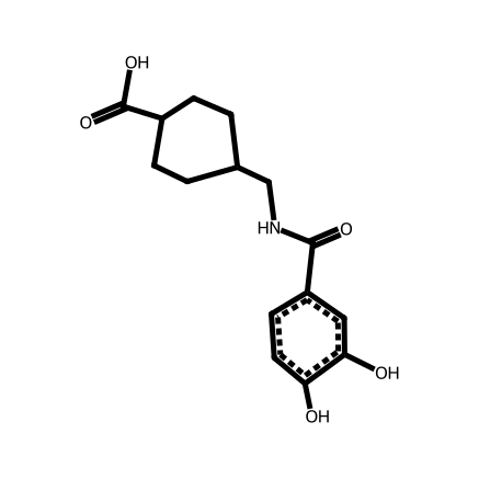 O=C(NCC1CCC(C(=O)O)CC1)c1ccc(O)c(O)c1